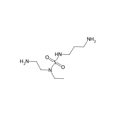 CCN(CCN)S(=O)(=O)NCCCN